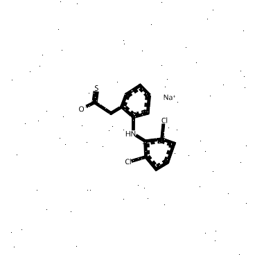 [Na+].[O-]C(=S)Cc1ccccc1Nc1c(Cl)cccc1Cl